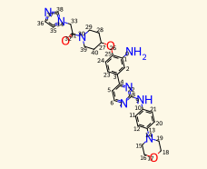 Nc1cc(-c2ccnc(Nc3ccc(N4CCOCC4)cc3)n2)ccc1OC1CCN(C(=O)Cn2ccnc2)CC1